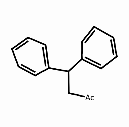 CC(=O)CC(c1ccccc1)c1ccccc1